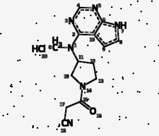 CN(c1ncnc2[nH]ccc12)C1CCN(C(=O)CC#N)C1.Cl